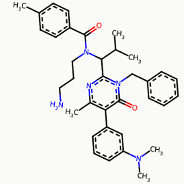 Cc1ccc(C(=O)N(CCCN)C(c2nc(C)c(-c3cccc(N(C)C)c3)c(=O)n2Cc2ccccc2)C(C)C)cc1